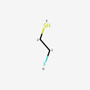 FCCS